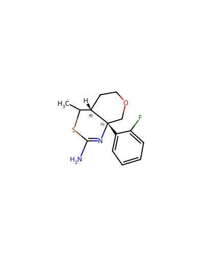 CC1SC(N)=N[C@@]2(c3ccccc3F)COCC[C@@H]12